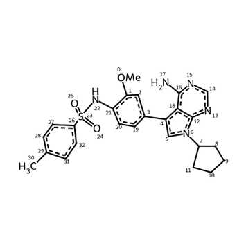 COc1cc(-c2cn(C3CCCC3)c3ncnc(N)c23)ccc1NS(=O)(=O)c1ccc(C)cc1